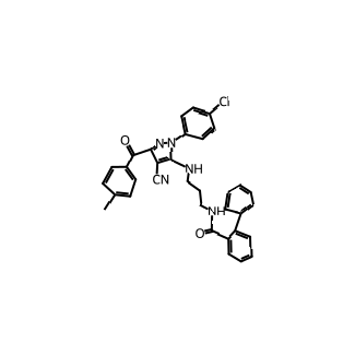 Cc1ccc(C(=O)c2nn(-c3ccc(Cl)cc3)c(NCCCNC(=O)c3ccccc3-c3ccccc3)c2C#N)cc1